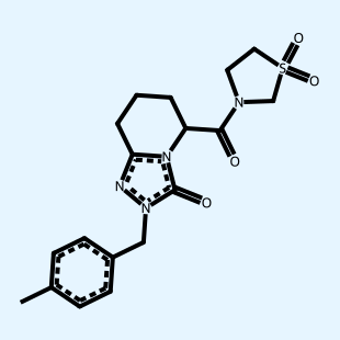 Cc1ccc(Cn2nc3n(c2=O)C(C(=O)N2CCS(=O)(=O)C2)CCC3)cc1